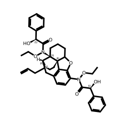 C=CCN1CC[C@]23c4c5ccc(N(OCC)C(=O)[C@@H](O)c6ccccc6)c4OC2CCC[C@@]3(N(OCC)C(=O)[C@@H](O)c2ccccc2)[C@H]1C5